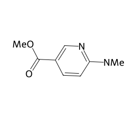 CNc1ccc(C(=O)OC)cn1